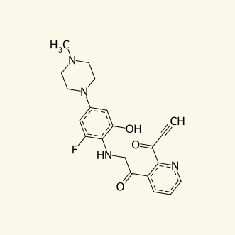 C#CC(=O)c1ncccc1C(=O)CNc1c(O)cc(N2CCN(C)CC2)cc1F